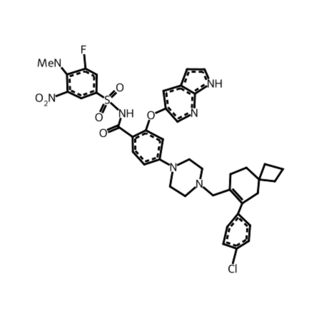 CNc1c(F)cc(S(=O)(=O)NC(=O)c2ccc(N3CCN(CC4=C(c5ccc(Cl)cc5)CC5(CCC5)CC4)CC3)cc2Oc2cnc3[nH]ccc3c2)cc1[N+](=O)[O-]